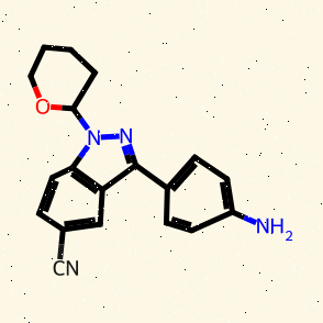 N#Cc1ccc2c(c1)c(-c1ccc(N)cc1)nn2C1CCCCO1